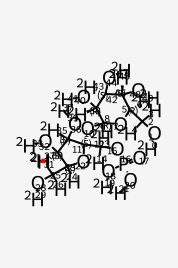 [2H]OC([2H])([2H])[C@@]1([2H])O[C@]([2H])(O[C@]2(C([2H])([2H])OP(=O)(O[2H])O[2H])O[C@]([2H])(C([2H])([2H])O[2H])[C@@]([2H])(O[2H])[C@]2([2H])O[2H])[C@]([2H])(O[2H])[C@@]([2H])(O[2H])[C@]1([2H])O[2H]